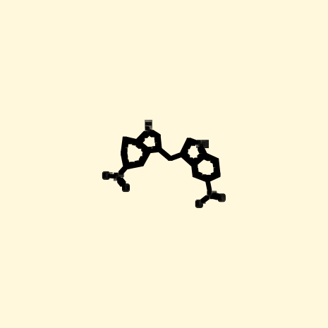 O=[N+]([O-])c1ccc2[nH]cc(Cc3c[nH]c4ccc([N+](=O)[O-])cc34)c2c1